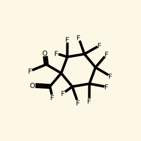 O=C(F)C1(C(=O)F)C(F)(F)C(F)(F)C(F)(F)C(F)(F)C1(F)F